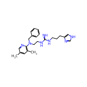 Cc1cnc(N(CCNC(=N)NCCCc2c[nH]cn2)Cc2ccccc2)c(C)c1